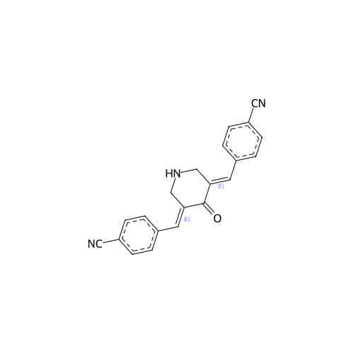 N#Cc1ccc(/C=C2\CNC/C(=C\c3ccc(C#N)cc3)C2=O)cc1